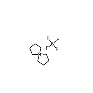 C1CC[N+]2(C1)CCCC2.F[B-](F)(F)F